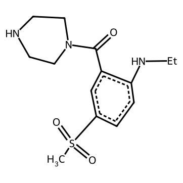 CCNc1ccc(S(C)(=O)=O)cc1C(=O)N1CCNCC1